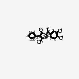 CC(c1ccc(Cl)c(Cl)c1)n1[nH]c(Cl)c(-c2ccccc2)c1=O